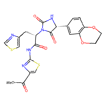 COC(=O)c1csc(NC(=O)[C@H](Cc2cscn2)N2C(=O)N[C@H](c3ccc4c(c3)OCCO4)C2=O)n1